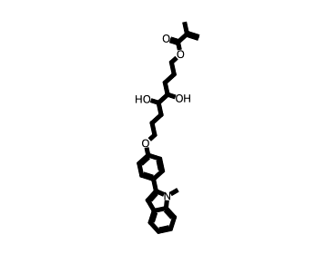 C=C(C)C(=O)OCCCC(O)C(O)CCCOc1ccc(-c2cc3ccccc3n2C)cc1